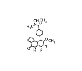 CCC(c1ccc(-c2c(OC)c(F)c(F)c3[nH]c(=O)c4sccc4c23)cc1)N(C)C